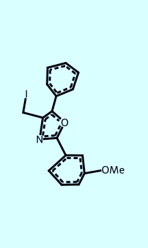 COc1cccc(-c2nc(CI)c(-c3ccccc3)o2)c1